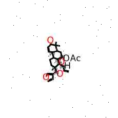 C=C1O[C@@H](c2ccoc2)[C@]2(C)CCC3[C@@]4(C)C=CC(=O)C(C)(C)C4C[C@@H](OC(C)=O)[C@@]3(C)[C@]23O[C@H]13